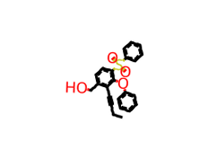 CCC#Cc1c(CO)ccc(S(=O)(=O)c2ccccc2)c1Oc1ccccc1